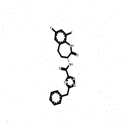 O=C(N[C@@H]1CCc2cc(F)cc(F)c2NC1=O)c1nnc(Cc2ccccc2)o1